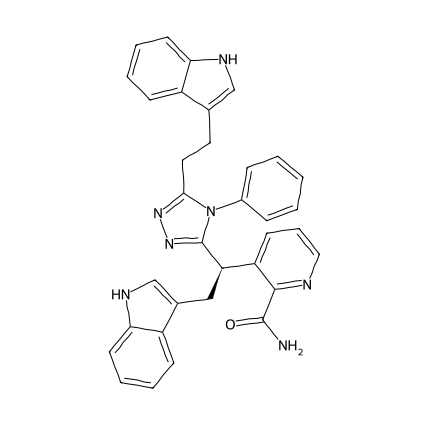 NC(=O)c1ncccc1[C@@H](Cc1c[nH]c2ccccc12)c1nnc(CCc2c[nH]c3ccccc23)n1-c1ccccc1